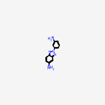 Nc1cccc(-n2nc3ccc(N)cc3n2)c1